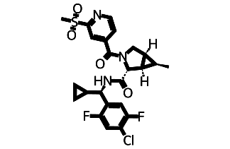 C[C@@H]1[C@@H]2CN(C(=O)c3ccnc(S(C)(=O)=O)c3)[C@@H](C(=O)N[C@@H](c3cc(F)c(Cl)cc3F)C3CC3)[C@H]12